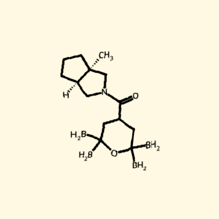 BC1(B)CC(C(=O)N2C[C@H]3CCC[C@@]3(C)C2)CC(B)(B)O1